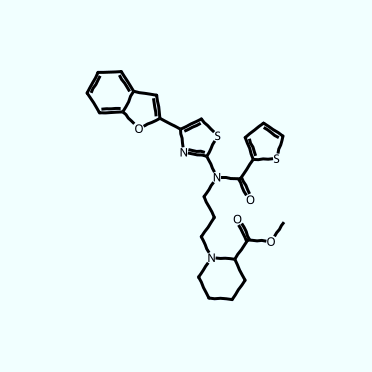 COC(=O)C1CCCCN1CCCN(C(=O)c1cccs1)c1nc(-c2cc3ccccc3o2)cs1